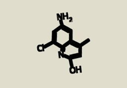 Cc1cc(O)nc2c(Cl)cc(N)cc12